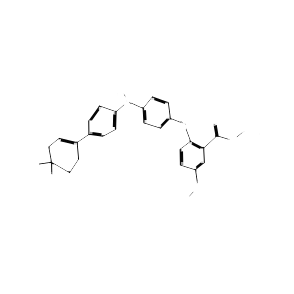 COC(=O)c1cc(OC)ccc1Nc1ccc(N(C)c2ccc(C3=CCC(F)(F)CC3)cc2)cc1